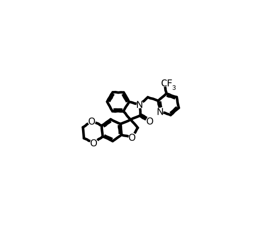 O=C1N(Cc2ncccc2C(F)(F)F)c2ccccc2C12COc1cc3c(cc12)OCCO3